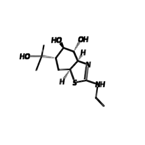 CCNC1=N[C@@H]2[C@@H](O)[C@H](O)[C@@H](C(C)(C)O)C[C@@H]2S1